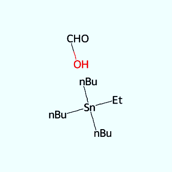 CCC[CH2][Sn]([CH2]C)([CH2]CCC)[CH2]CCC.O=CO